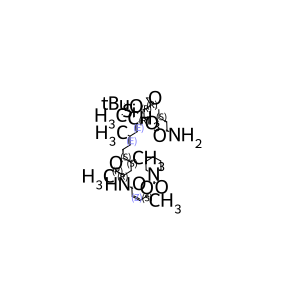 CC(/C=C/[C@H]1O[C@H](CC(N)=O)C[C@@]2(CO2)[C@@H]1O[Si](C)(C)C(C)(C)C)=C\C[C@@H]1O[C@H](C)[C@H](NC(=O)/C=C\[C@H](C)OC(=O)N2CCCCC2)C[C@@H]1C